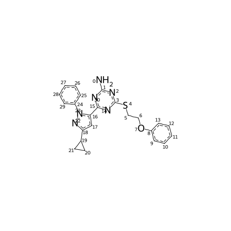 Nc1nc(SCCOc2ccccc2)nc(-c2cc(C3CC3)nn2-c2ccccc2)n1